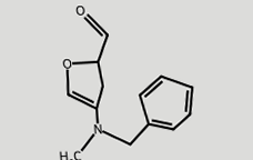 CN(Cc1ccccc1)C1=COC(C=O)C1